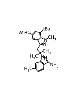 COc1cc(C(C)(C)C)c2c(c1)c(CC(C)(C)n1nc(N)c3ccc(C)cc31)nn2C